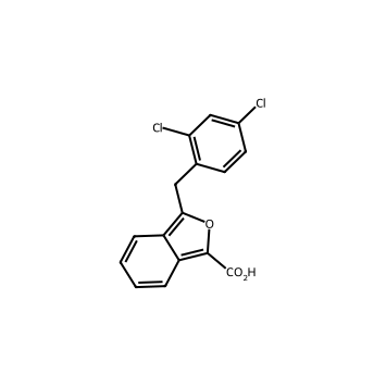 O=C(O)c1oc(Cc2ccc(Cl)cc2Cl)c2ccccc12